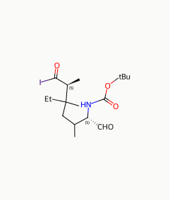 CCC(C)(CC(C)[C@@H](C=O)NC(=O)OC(C)(C)C)[C@H](C)C(=O)I